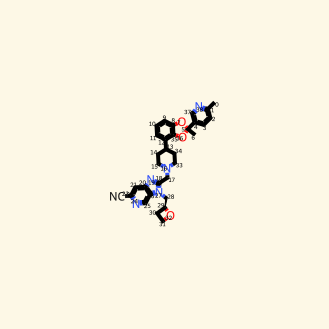 Cc1ccc(C2(C)Oc3cccc(C4CCN(Cc5nc6cc(C#N)ncc6n5C[C@@H]5CCO5)CC4)c3O2)cn1